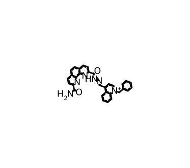 NC(=O)c1ccc2ccc3ccc(C(=O)N/N=C/c4cc[n+](Cc5ccccc5)c5ccccc45)nc3c2n1